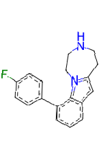 Fc1ccc(-c2cccc3cc4n(c23)CCNCC4)cc1